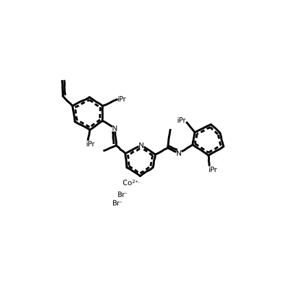 C=Cc1cc(C(C)C)c(/N=C(\C)c2cccc(/C(C)=N/c3c(C(C)C)cccc3C(C)C)n2)c(C(C)C)c1.[Br-].[Br-].[Co+2]